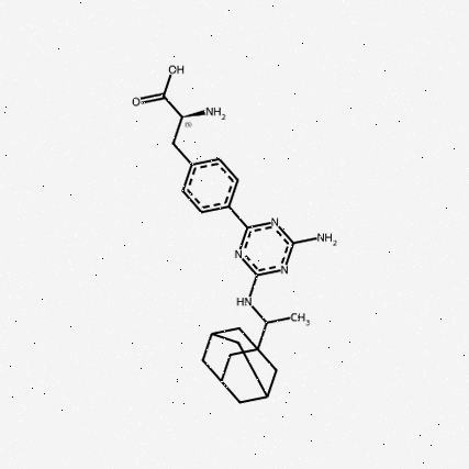 CC(Nc1nc(N)nc(-c2ccc(C[C@H](N)C(=O)O)cc2)n1)C12CC3CC(CC(C3)C1)C2